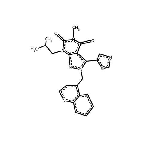 CC(C)Cn1c(=O)n(C)c(=O)c2c(-c3cncs3)n(Cc3ccnc4ccccc34)nc21